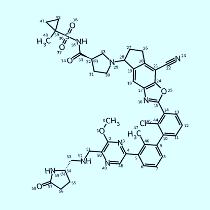 COc1nc(-c2cccc(-c3cccc(-c4nc5cc6c(c(C#N)c5o4)CCC6N4CC[C@@H](C(=O)NS(=O)(=O)C5(C)CC5)C4)c3Cl)c2C)cnc1CNC[C@@H]1CCC(=O)N1